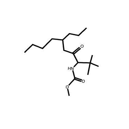 CCCCC(CCC)CC(=O)C(NC(=O)OC)C(C)(C)C